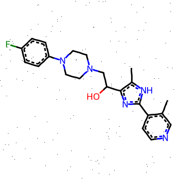 Cc1cnccc1-c1nc(C(O)CN2CCN(c3ccc(F)cc3)CC2)c(C)[nH]1